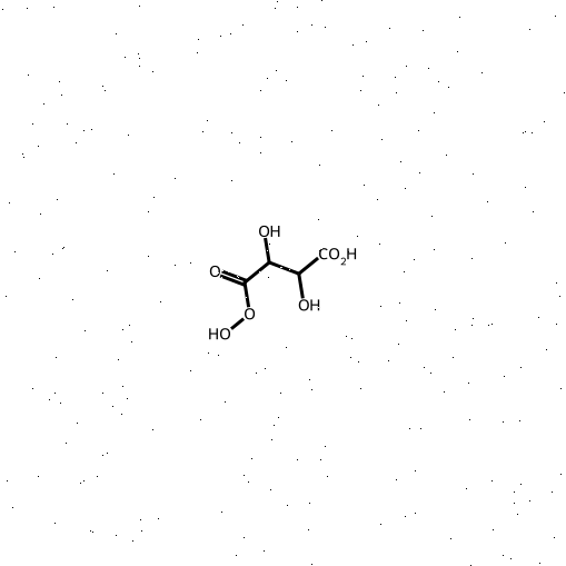 O=C(O)C(O)C(O)C(=O)OO